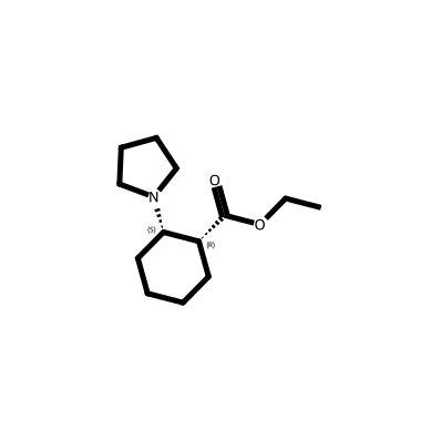 CCOC(=O)[C@@H]1CCCC[C@@H]1N1CCCC1